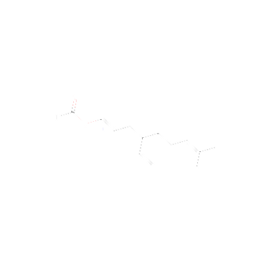 C=CC(C/C=C/OC(=O)CC)CCC=C(C)C